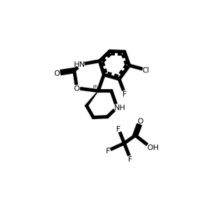 O=C(O)C(F)(F)F.O=C1Nc2ccc(Cl)c(F)c2[C@@]2(CCCNC2)O1